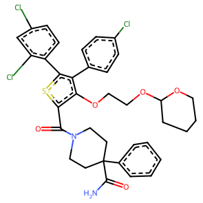 NC(=O)C1(c2ccccc2)CCN(C(=O)c2sc(-c3ccc(Cl)cc3Cl)c(-c3ccc(Cl)cc3)c2OCCOC2CCCCO2)CC1